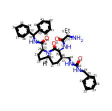 CC[C@H](N)C(=O)N[C@@H]1C(=O)N2[C@@H](CC[C@@H]1CNC(=O)NCc1ccccc1)CC[C@H]2C(=O)NC(c1ccccc1)c1ccccc1